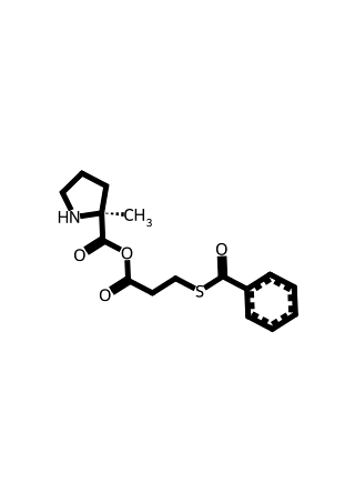 C[C@@]1(C(=O)OC(=O)CCSC(=O)c2ccccc2)CCCN1